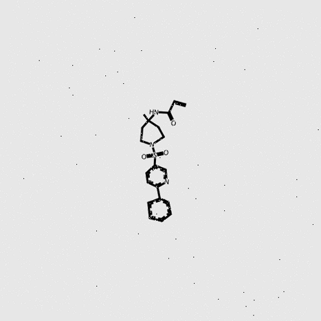 C=CC(=O)NC1(C)CCN(S(=O)(=O)c2ccc(-c3ccccc3)nc2)CC1